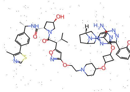 Cc1ncsc1-c1ccc([C@H](C)NC(=O)[C@@H]2C[C@@H](O)CN2C(=O)[C@@H](c2cc(OCCN3CCC(OC4CC(Oc5nccc(N6C7CC[C@@H]6CN(c6cc(-c8ccccc8O)nnc6N)C7)n5)C4)CC3)no2)C(C)C)cc1